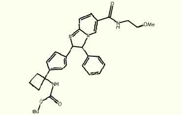 COCCNC(=O)C1=CN2C(=NC(c3ccc(C4(NC(=O)OC(C)(C)C)CCC4)cc3)C2c2ccccc2)C=C1